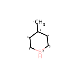 CC1CCBCC1